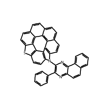 c1ccc(-c2nc3ccc4ccccc4c3nc2-n2c3ccc4ccc5ccc6ccc7sc8ccc2c2c8c7c6c5c4c23)cc1